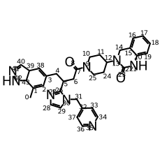 CC1=CC(CC(CC(=O)N2CCC(N3Cc4ccccc4NC3=O)CC2)c2nccn2Cc2ccncc2)=CC2C=NNC12